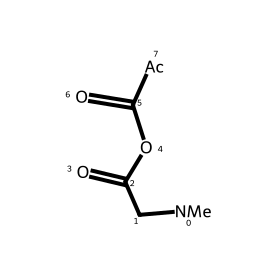 CNCC(=O)OC(=O)C(C)=O